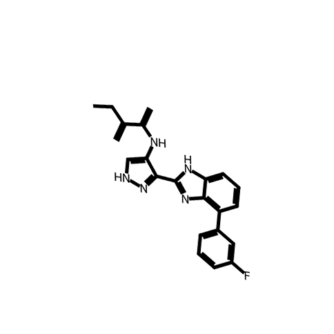 C=C(CC)C(=C)Nc1c[nH]nc1-c1nc2c(-c3cccc(F)c3)cccc2[nH]1